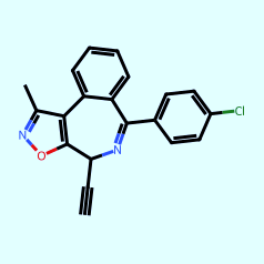 C#CC1N=C(c2ccc(Cl)cc2)c2ccccc2-c2c(C)noc21